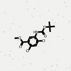 COC(=O)c1cc(NC(=O)OC(C)(C)C)c(Cl)cc1Cl